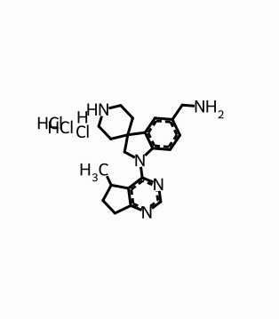 CC1CCc2ncnc(N3CC4(CCNCC4)c4cc(CN)ccc43)c21.Cl.Cl.Cl